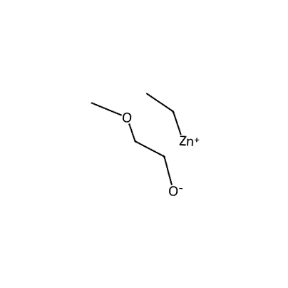 COCC[O-].C[CH2][Zn+]